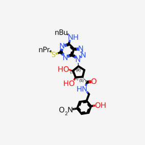 CCCCNc1nc(SCCC)nc2c1nnn2[C@@H]1C[C@H](C(=O)NCc2cc([N+](=O)[O-])ccc2O)[C@@H](O)[C@H]1O